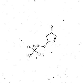 CC(C)C(C)(C)[SiH2]OC1C=CC(=O)C1